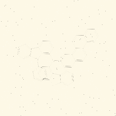 c1ccc(-n2c3ccccc3c3cccc(N(c4ccc5ccc6c7ccccc7ccc6c5c4)c4cccc5oc6ccccc6c45)c32)cc1